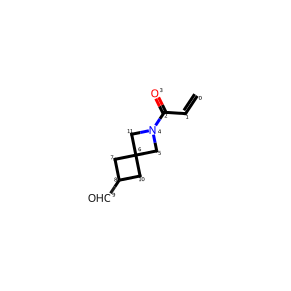 C=CC(=O)N1CC2(CC(C=O)C2)C1